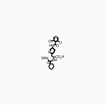 CSC1=C(N[C@@H](Cc2ccc(NC(=O)c3c(Cl)cncc3Cl)cn2)C(=O)O)C2(CCCCC2)O1